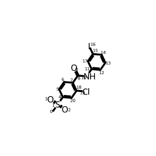 CS(=O)(=O)c1ccc(C(=O)Nc2cccc(I)c2)c(Cl)c1